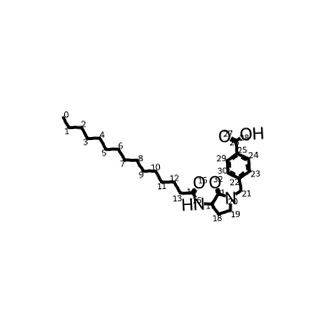 CCCCCCCCCCCCCCC(=O)NC1CCN(Cc2ccc(C(=O)O)cc2)C1=O